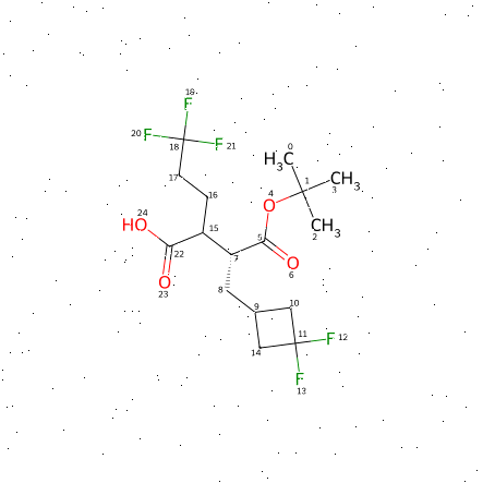 CC(C)(C)OC(=O)[C@H](CC1CC(F)(F)C1)C(CCC(F)(F)F)C(=O)O